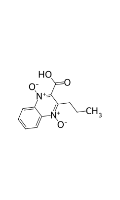 CCCc1c(C(=O)O)[n+]([O-])c2ccccc2[n+]1[O-]